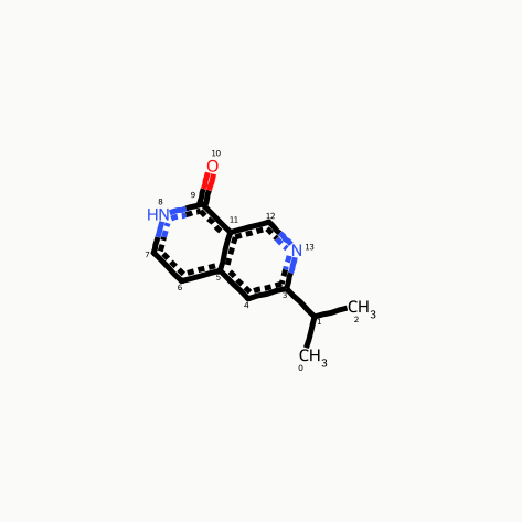 CC(C)c1cc2cc[nH]c(=O)c2cn1